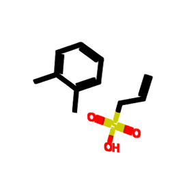 C=CCS(=O)(=O)O.Cc1ccccc1C